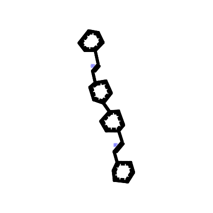 C(=C\c1ccc(-c2ccc(/C=C/c3ccccc3)cc2)cc1)/c1ccccc1